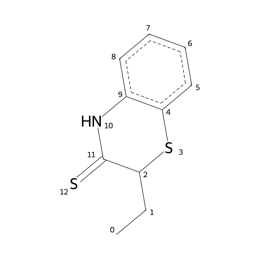 CCC1Sc2ccccc2NC1=S